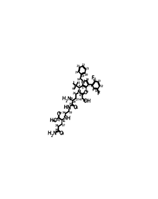 CC(C)(C)[C@H](c1cc(-c2cc(F)ccc2F)cn1Cc1ccccc1)N(CC[C@H](N)C(=O)NCCN[C@@H](CCC(N)=O)C(=O)O)C(=O)CO